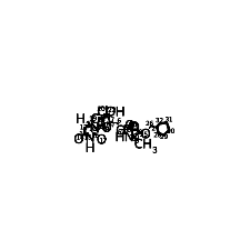 C[C@@H](N[PH](=O)OC[C@H]1O[C@@H](n2ccc(=O)[nH]c2=O)[C@](C)(Cl)[C@@H]1O)C(=O)OCc1ccccc1